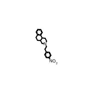 O=[N+]([O-])c1ccc(CCN2CCC3c4ccccc4CCC3C2)cc1